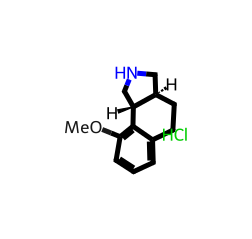 COc1cccc2c1[C@@H]1CNC[C@H]1CC2.Cl